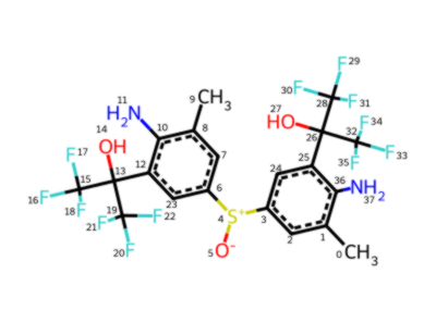 Cc1cc([S+]([O-])c2cc(C)c(N)c(C(O)(C(F)(F)F)C(F)(F)F)c2)cc(C(O)(C(F)(F)F)C(F)(F)F)c1N